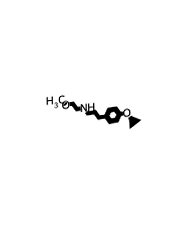 COCCNCCCc1ccc(OC2CC2)cc1